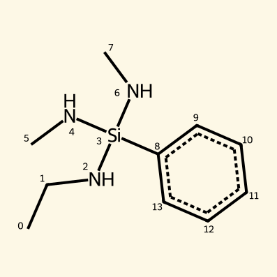 CCN[Si](NC)(NC)c1ccccc1